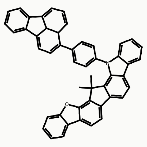 CC1(C)c2c(ccc3c2oc2ccccc23)-c2ccc3c4ccccc4n(-c4ccc(C5=CC=C6c7ccccc7C7=CC=CC5C76)cc4)c3c21